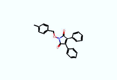 Cc1ccc(CON2C(=O)C(c3ccccc3)=C(c3ccccc3)C2=O)cc1